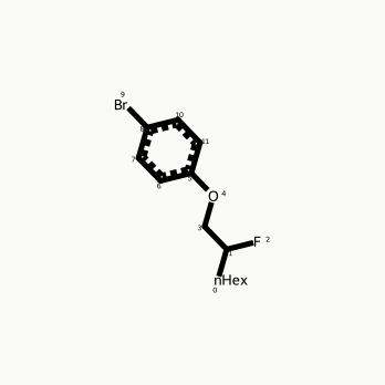 CCCCCCC(F)COc1ccc(Br)cc1